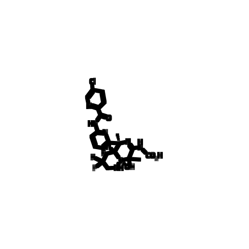 CC1(C)C(NC(=O)O)=N[C@](C)(c2nc(NC(=O)c3ccc(Cl)cn3)ccc2F)[C@H]2CC(F)(F)CN[S@@]21O